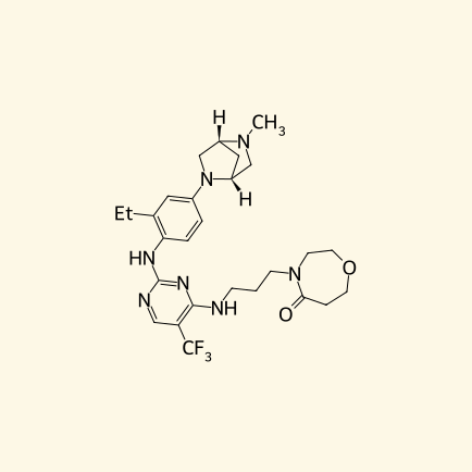 CCc1cc(N2C[C@H]3C[C@@H]2CN3C)ccc1Nc1ncc(C(F)(F)F)c(NCCCN2CCOCCC2=O)n1